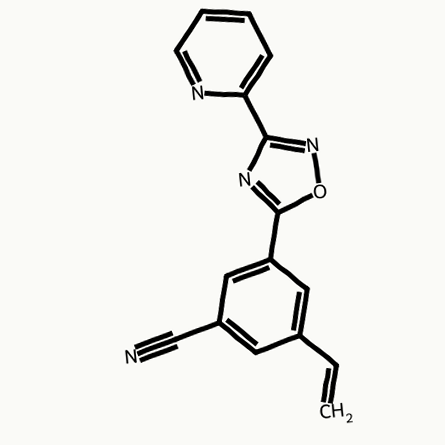 C=Cc1cc(C#N)cc(-c2nc(-c3ccccn3)no2)c1